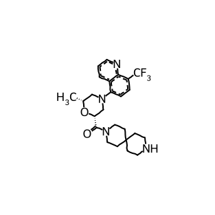 C[C@@H]1CN(c2ccc(C(F)(F)F)c3ncccc23)C[C@H](C(=O)N2CCC3(CCNCC3)CC2)O1